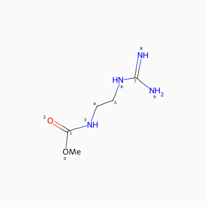 COC(=O)NCCNC(=N)N